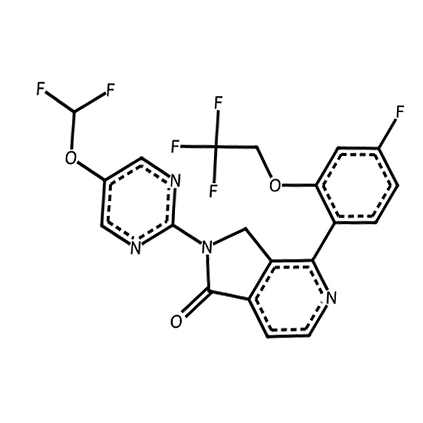 O=C1c2ccnc(-c3ccc(F)cc3OCC(F)(F)F)c2CN1c1ncc(OC(F)F)cn1